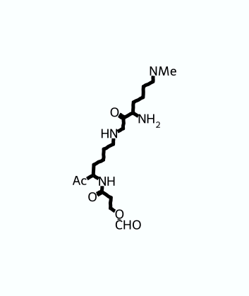 CNCCCCC(N)C(=O)CNCCCCC(NC(=O)CCOC=O)C(C)=O